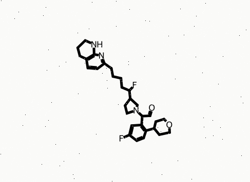 O=CC(c1cc(F)ccc1C1CCOCC1)N1CCC(C(F)CCCCc2ccc3c(n2)NCCC3)C1